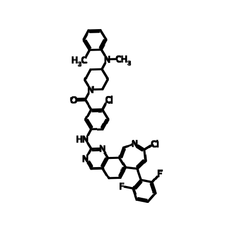 Cc1ccccc1N(C)C1CCN(C(=O)c2cc(Nc3ncc4c(n3)C3=CN=C(Cl)C=C(c5c(F)cccc5F)C3=CC4)ccc2Cl)CC1